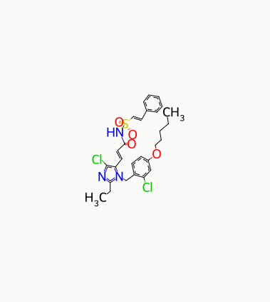 CCCCCOc1ccc(Cn2c(CC)nc(Cl)c2C=CC(=O)NS(=O)(=O)C=Cc2ccccc2)c(Cl)c1